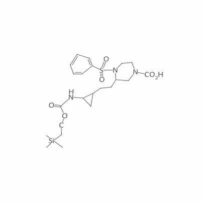 C[Si](C)(C)CCOC(=O)NC1CC1CCC1CN(C(=O)O)CCN1S(=O)(=O)c1ccccc1